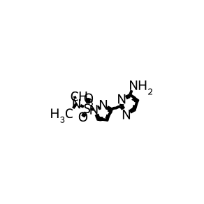 CN(C)S(=O)(=O)n1ccc(-c2nccc(N)n2)n1